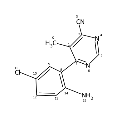 Cc1c(C#N)ncnc1-c1cc(Cl)ccc1N